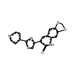 O=c1[nH]c2cc3c(cc2cc1-c1csc(-c2ccncc2)n1)OCO3